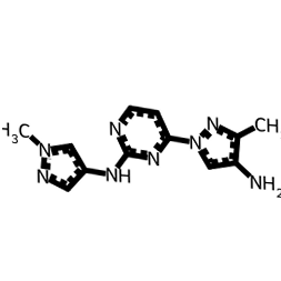 Cc1nn(-c2ccnc(Nc3cnn(C)c3)n2)cc1N